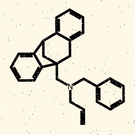 C=CCN(Cc1ccccc1)CC12Cc3ccccc3C(C1)c1ccccc12